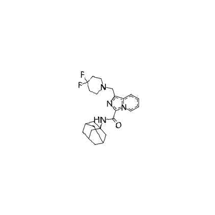 O=C(NC12CC3CC(CC(C3)C1)C2)c1nc(CN2CCC(F)(F)CC2)c2ccccn12